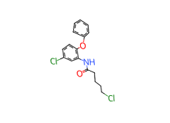 O=C(CCCCCl)Nc1cc(Cl)ccc1Oc1ccccc1